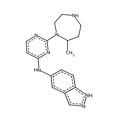 CC1CCNCCN1c1nccc(Nc2ccc3[nH]ncc3c2)n1